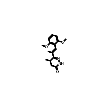 COc1cccc(SC)c1C=C(C)C1=NNC(=O)CC1C